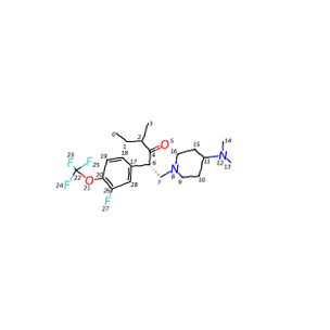 CCC(C)C(=O)[C@H](CN1CCC(N(C)C)CC1)c1ccc(OC(F)(F)F)c(F)c1